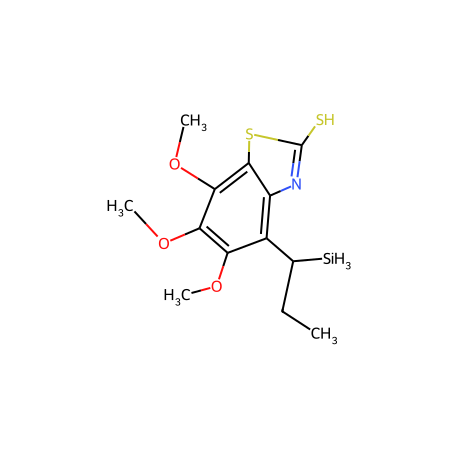 CCC([SiH3])c1c(OC)c(OC)c(OC)c2sc(S)nc12